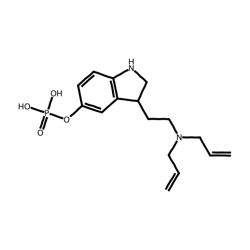 C=CCN(CC=C)CCC1CNc2ccc(OP(=O)(O)O)cc21